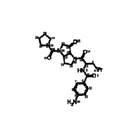 CC(C)CC(NC(=O)c1ccc(N)cc1)C(=O)N1CCC2C1C(=O)CN2C(=O)N1CCCC1